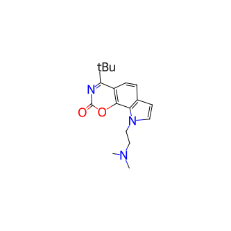 CN(C)CCn1ccc2ccc3c(C(C)(C)C)nc(=O)oc3c21